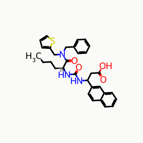 CCCC[C@H](NC(=O)NC(CC(=O)O)c1ccc2ccccc2c1)C(=O)N(Cc1ccccc1)Cc1cccs1